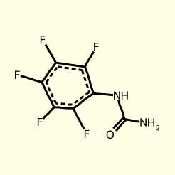 NC(=O)Nc1c(F)c(F)c(F)c(F)c1F